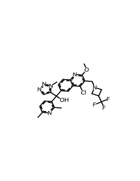 COc1nc2ccc(C(O)(c3ccc(C)nc3C)c3cnnn3C)cc2c(Cl)c1CN1CC(C(F)(F)F)C1